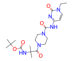 CCn1ccc(NC(=O)N2CCN(C(=O)C(C)(C)NC(=O)OC(C)(C)C)CC2)nc1=O